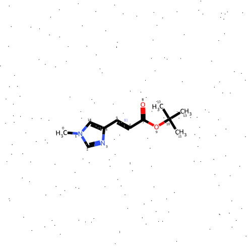 Cn1cnc(/C=C/C(=O)OC(C)(C)C)c1